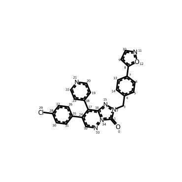 O=c1n(Cc2ccc(-c3ccno3)cc2)nc2c(-c3ccncc3)c(-c3ccc(Cl)cc3)cnn12